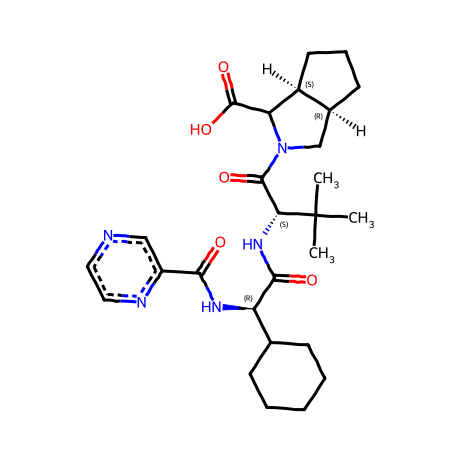 CC(C)(C)[C@H](NC(=O)[C@H](NC(=O)c1cnccn1)C1CCCCC1)C(=O)N1C[C@@H]2CCC[C@@H]2C1C(=O)O